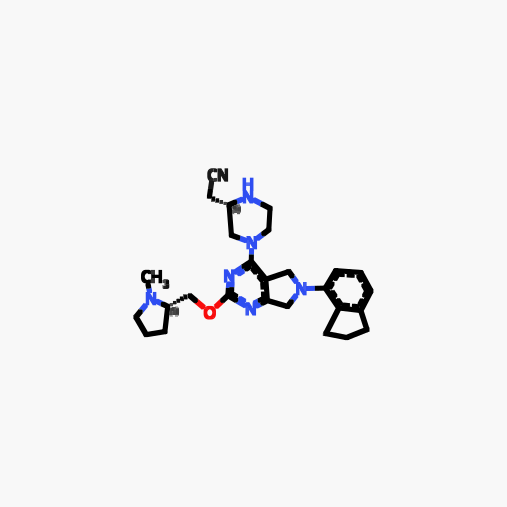 CN1CCC[C@H]1COc1nc2c(c(N3CCN[C@@H](CC#N)C3)n1)CN(c1cccc3c1CCC3)C2